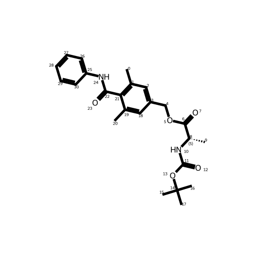 Cc1cc(COC(=O)[C@H](C)NC(=O)OC(C)(C)C)cc(C)c1C(=O)Nc1ccccc1